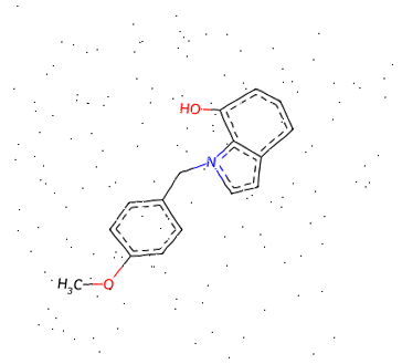 COc1ccc(Cn2ccc3cccc(O)c32)cc1